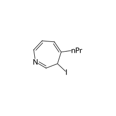 CCCC1=CC=CN=CC1I